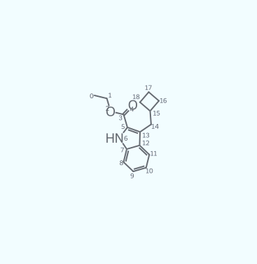 CCOC(=O)c1[nH]c2ccccc2c1CC1CCC1